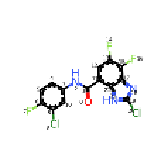 O=C(Nc1ccc(F)c(Cl)c1)c1cc(F)c(F)c2nc(Cl)[nH]c12